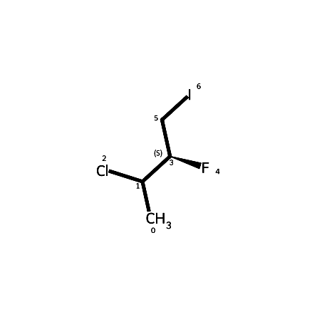 CC(Cl)[C@H](F)CI